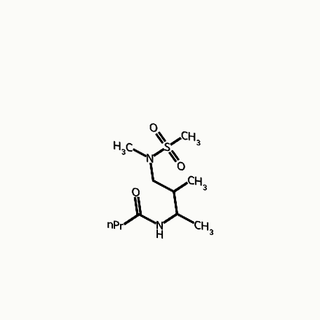 CCCC(=O)NC(C)C(C)CN(C)S(C)(=O)=O